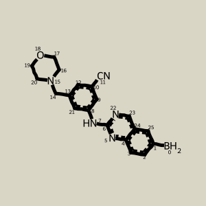 Bc1ccc2nc(Nc3cc(C#N)cc(CN4CCOCC4)c3)ncc2c1